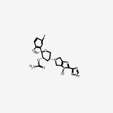 CCn1c(-c2nc[nH]n2)nc2c1CN([C@H]1CO[C@@](c3cc(F)ccc3F)(C(C)(C)C)[C@@H](OC(N)=O)C1)C2